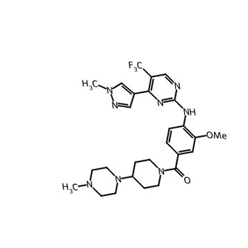 COc1cc(C(=O)N2CCC(N3CCN(C)CC3)CC2)ccc1Nc1ncc(C(F)(F)F)c(-c2cnn(C)c2)n1